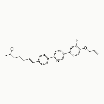 C=CCOc1ccc(-c2ccc(-c3ccc(C=CCCCC(C)O)cc3)nc2)cc1F